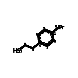 CC(C)c1ccc(CCS)cc1